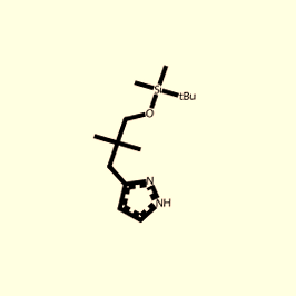 CC(C)(CO[Si](C)(C)C(C)(C)C)Cc1cc[nH]n1